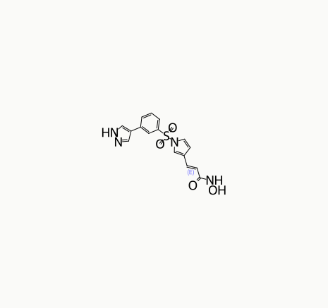 O=C(/C=C/c1ccn(S(=O)(=O)c2cccc(-c3cn[nH]c3)c2)c1)NO